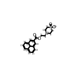 O=C(OCCN1CCS(=O)(=O)CC1)C1=CC2=CC=CC3=CC=CC(=C1)C32